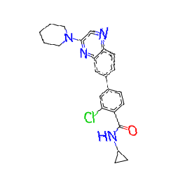 O=C(NC1CC1)c1ccc(-c2ccc3ncc(N4CCCCC4)nc3c2)cc1Cl